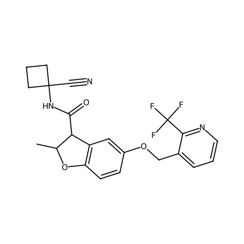 CC1Oc2ccc(OCc3cccnc3C(F)(F)F)cc2C1C(=O)NC1(C#N)CCC1